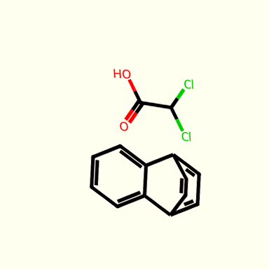 O=C(O)C(Cl)Cl.c1ccc2c3ccc(cc3)c2c1